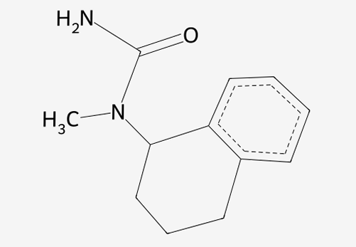 CN(C(N)=O)C1CCCc2ccccc21